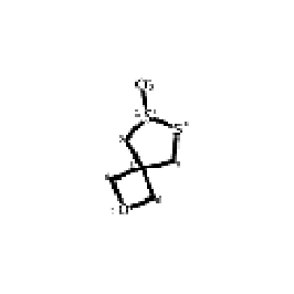 [O-][S+]1CC2(COC2)CS1